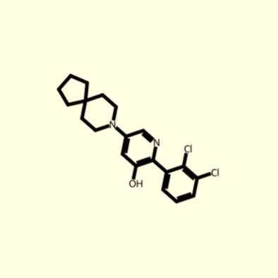 Oc1cc(N2CCC3(CCCC3)CC2)cnc1-c1cccc(Cl)c1Cl